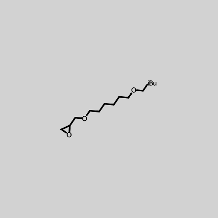 CCC(C)COCCCCCCOCC1CO1